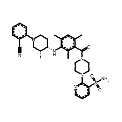 Cc1cc(C)c(C(=O)N2CCN(c3ncccc3S(N)(=O)=O)CC2)c(C)c1N[C@H]1CCN(c2ccccc2C#N)C[C@H]1C